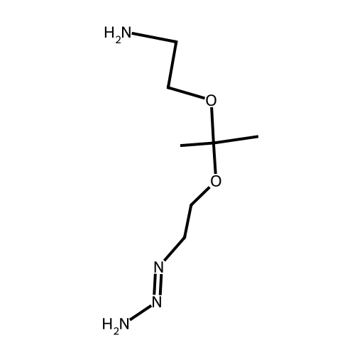 CC(C)(OCCN)OCCN=NN